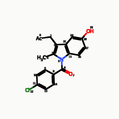 CC(=O)Cc1c(C)n(C(=O)c2ccc(Cl)cc2)c2ccc(O)cc12